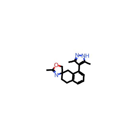 CC1=NC2(CCc3cccc(-c4c(C)n[nH]c4C)c3C2)CO1